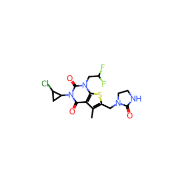 Cc1c(CN2CCNC2=O)sc2c1c(=O)n(C1CC1Cl)c(=O)n2CC(F)F